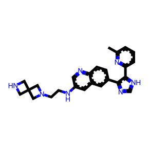 Cc1cccc(-c2[nH]cnc2-c2ccc3ncc(NCCN4CC5(CNC5)C4)cc3c2)n1